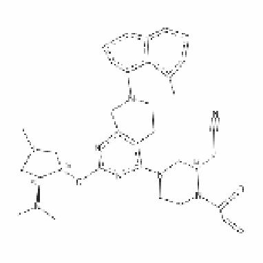 C=CC(=O)N1CCN(c2nc(O[C@H]3CN(C)C[C@@H]3N(C)C)nc3c2CCN(c2cccc4cccc(C)c24)C3)C[C@@H]1CC#N